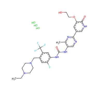 CCN1CCN(Cc2cc(F)c(NC(=O)Nc3cnc(-c4c[nH]c(=O)c(OCCO)c4)nc3C)cc2C(F)(F)F)CC1.Cl.Cl.Cl